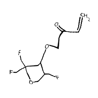 C=CC(=O)COC1C(F)OC1(F)F